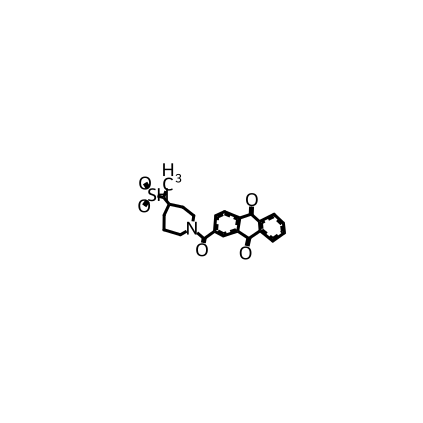 CC(C1CCCN(C(=O)c2ccc3c(c2)C(=O)c2ccccc2C3=O)CC1)[SH](=O)=O